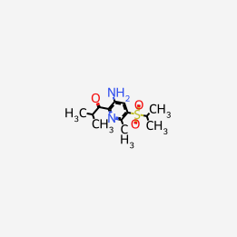 Cc1nc(C(=O)C(C)C)c(N)cc1S(=O)(=O)C(C)C